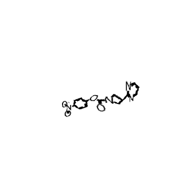 O=C(Oc1ccc([N+](=O)[O-])cc1)N1CC(c2ncccn2)C1